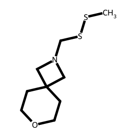 CSSCN1CC2(CCOCC2)C1